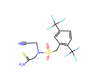 N#CCN(CC(N)=S)S(=O)(=O)Cc1cc(C(F)(F)F)ccc1C(F)(F)F